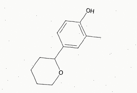 Cc1cc(C2CCCCO2)ccc1O